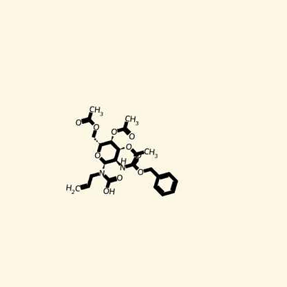 C=CCN(C(=O)O)[C@@H]1O[C@H](COC(C)=O)[C@H](OC(C)=O)[C@H](OC(C)=O)[C@H]1NC(=O)OCc1ccccc1